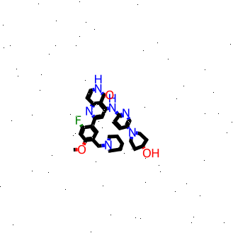 COc1cc(F)c(-c2cc(Nc3ccc(N4CCC(O)CC4)cn3)c3c(=O)[nH]ccc3n2)cc1CN1CCCCC1